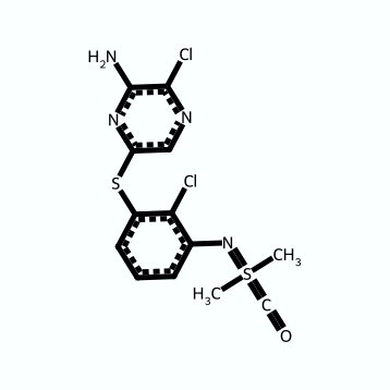 CS(C)(=C=O)=Nc1cccc(Sc2cnc(Cl)c(N)n2)c1Cl